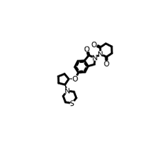 O=C1c2ccc(O[C@H]3CCC[C@@H]3N3CCSCC3)cc2CN1N1C(=O)CCCC1=O